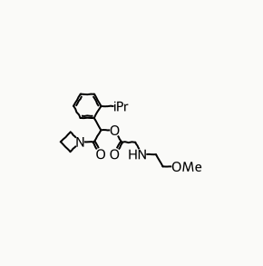 COCCNCC(=O)OC(C(=O)N1CCC1)c1ccccc1C(C)C